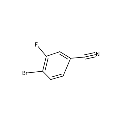 N#Cc1ccc(Br)c(F)c1